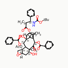 CC(=O)O[C@@]12CO[C@@H]1C[C@H](O)[C@@]1(C)C(=O)[C@H](OC(=O)c3ccccc3)C3=C(C)[C@@H](OC(=O)[C@H](C)[C@@H](NC(=O)OC(C)(C)C)c4ccccc4)C[C@@](O)([C@@H](OC(=O)c4ccccc4)C12)C3(C)C